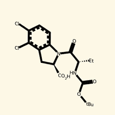 CC[C@H](NC(=O)OC(C)(C)C)C(=O)N1c2ccc(Cl)c(Cl)c2C[C@@H]1C(=O)O